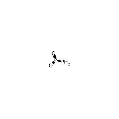 O=P(=O)P